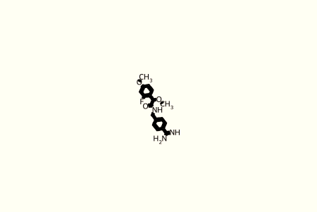 COc1ccc(C(OC)C(=O)NCc2ccc(C(=N)N)cc2)c(F)c1